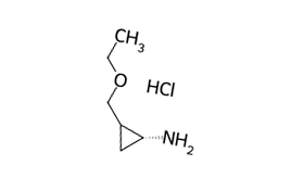 CCOCC1C[C@H]1N.Cl